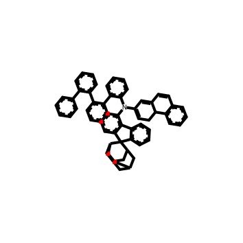 C1=Cc2ccccc2C2CC=C(N(c3ccccc3-c3ccccc3-c3ccccc3-c3ccccc3)c3cccc4c3-c3ccccc3C43C4CCC5CC(C4)CC3C5)C=C12